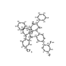 Fc1ccc(-c2ccc(-c3nc(-c4ccccc4)nc(-c4ccccc4)n3)c(-n3c4ccccc4c4ccc(C(F)(F)F)cc43)c2)c(F)c1